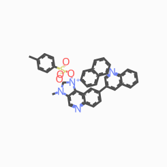 Cc1ccc(S(=O)(=O)O[N+]2(c3ccc4ccccc4c3)C(=O)N(C)c3cnc4ccc(-c5cnc6ccccc6c5)cc4c32)cc1